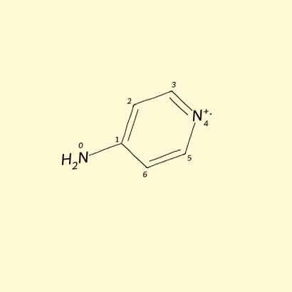 NC1=CC=[N+]C=C1